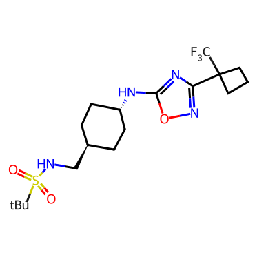 CC(C)(C)S(=O)(=O)NC[C@H]1CC[C@H](Nc2nc(C3(C(F)(F)F)CCC3)no2)CC1